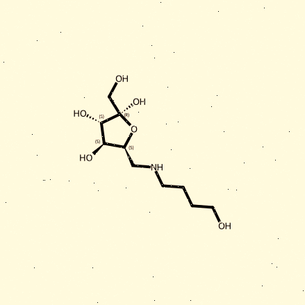 OCCCCNC[C@@H]1O[C@](O)(CO)[C@@H](O)[C@@H]1O